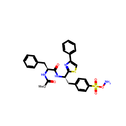 COC(=O)N[C@@H](Cc1ccccc1)C(=O)N[C@@H](Cc1ccc(S(=O)(=O)ON)cc1)c1nc(-c2ccccc2)cs1